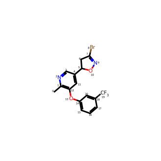 Cc1ncc(C2CC(Br)=NO2)cc1Oc1cccc(C(F)(F)F)c1